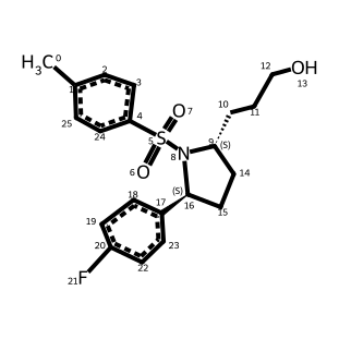 Cc1ccc(S(=O)(=O)N2[C@H](CCCO)CC[C@H]2c2ccc(F)cc2)cc1